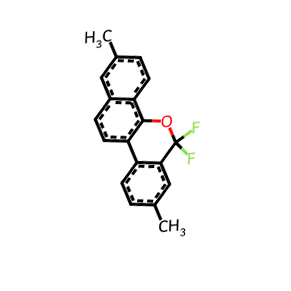 Cc1ccc2c(c1)C(F)(F)Oc1c-2ccc2cc(C)ccc12